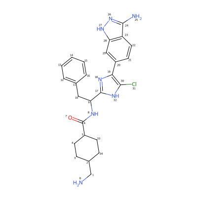 NCC1CCC(C(=O)NC(Cc2ccccc2)c2nc(-c3ccc4c(N)n[nH]c4c3)c(Cl)[nH]2)CC1